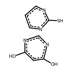 Oc1cc(O)ncn1.Sc1ncccn1